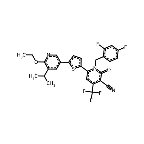 CCOc1ncc(-c2ccc(-c3cc(C(F)(F)F)c(C#N)c(=O)n3Cc3ccc(F)cc3F)s2)cc1C(C)C